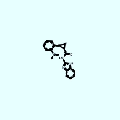 CN(C)c1ccccc1C1CC1C(=O)Nc1nc2ccccc2[nH]1